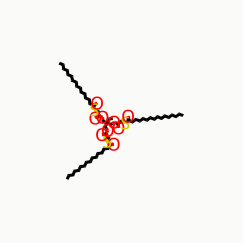 CCCCCCCCCCCCCCCC(=O)SCC(=O)OCC(CC)(COC(=O)CSC(=O)CCCCCCCCCCCCCCC)COC(=O)CSC(=O)CCCCCCCCCCCCCCC